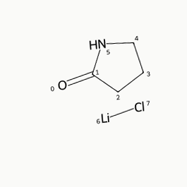 O=C1CCCN1.[Li][Cl]